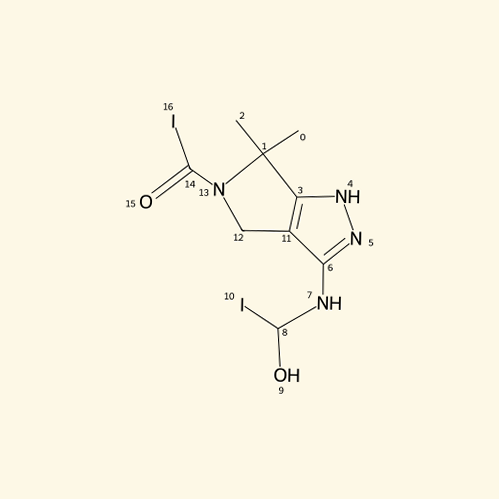 CC1(C)c2[nH]nc(NC(O)I)c2CN1C(=O)I